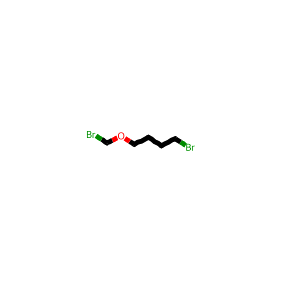 BrCCCCOCBr